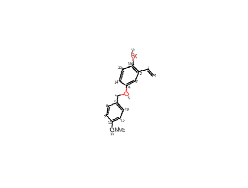 C=Cc1cc(OCc2ccc(OC)cc2)ccc1Br